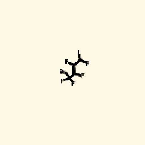 FC(=C(F)C(F)(F)Br)C(F)F